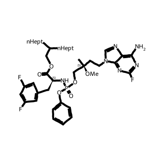 CCCCCCCC(CCCCCCC)COC(=O)[C@H](Cc1cc(F)cc(F)c1)NP(=O)(OC[C@](C)(CCn1cnc2c(N)nc(F)nc21)OC)Oc1ccccc1